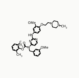 COc1cccc(CN(C(=O)Oc2c(C)cccc2C)c2ccnc(Nc3ccc(OCCN4CCN(C)CC4)c(OC)c3)n2)c1